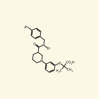 CCN(Cc1ccc(C(C)C)cc1)C(=O)C1CCCN(c2cccc(OC(C)(C)C(=O)O)c2)C1